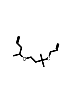 C=CCOC(C)(C)CCOC(C)CC=C